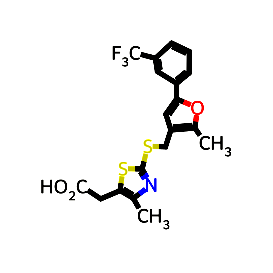 Cc1nc(SCc2cc(-c3cccc(C(F)(F)F)c3)oc2C)sc1CC(=O)O